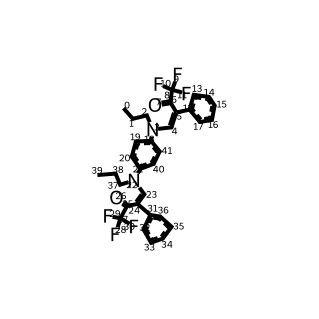 CCCN(/C=C(\C(=O)C(F)(F)F)c1ccccc1)c1ccc(N(/C=C(\C(=O)C(F)(F)F)c2ccccc2)CCC)cc1